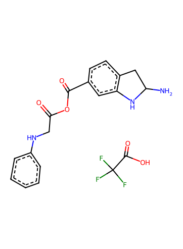 NC1Cc2ccc(C(=O)OC(=O)CNc3ccccc3)cc2N1.O=C(O)C(F)(F)F